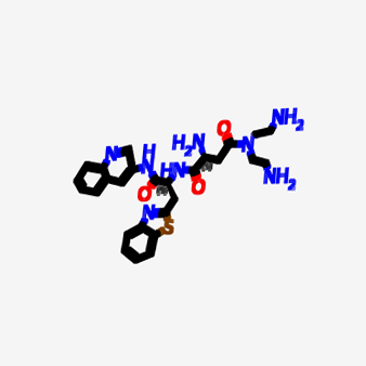 NCCN(CCN)C(=O)C[C@H](N)C(=O)N[C@@H](Cc1nc2ccccc2s1)C(=O)Nc1cnc2ccccc2c1